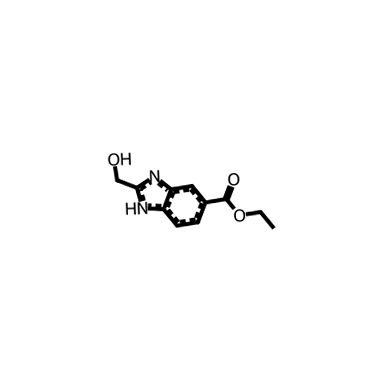 CCOC(=O)c1ccc2[nH]c(CO)nc2c1